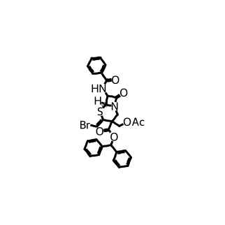 CC(=O)OCC1(C(=O)OC(c2ccccc2)c2ccccc2)CN2C(=O)C(NC(=O)c3ccccc3)[C@H]2SC1=CBr